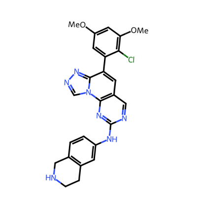 COc1cc(OC)c(Cl)c(-c2cc3cnc(Nc4ccc5c(c4)CCNC5)nc3n3cnnc23)c1